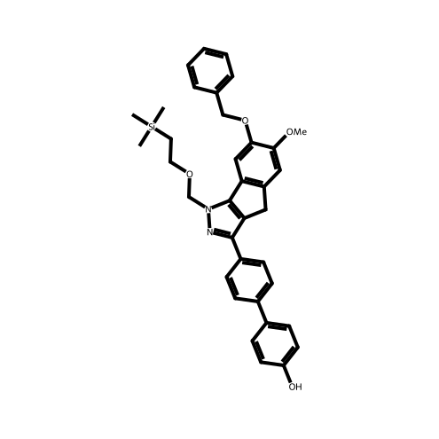 COc1cc2c(cc1OCc1ccccc1)-c1c(c(-c3ccc(-c4ccc(O)cc4)cc3)nn1COCC[Si](C)(C)C)C2